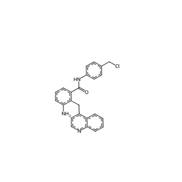 Nc1cccc(C(=O)Nc2ccc(CCl)cc2)c1Cc1ccnc2ccccc12